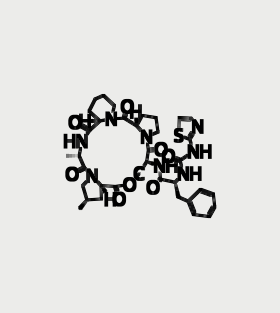 C[C@@H]1C[C@H]2C(=O)OC[C@H](NC(=O)[C@H](Cc3ccccc3)NC(=O)Nc3nccs3)C(=O)N3CCC[C@H]3C(=O)N3CCCC[C@H]3C(=O)N[C@@H](C)C(=O)N2C1